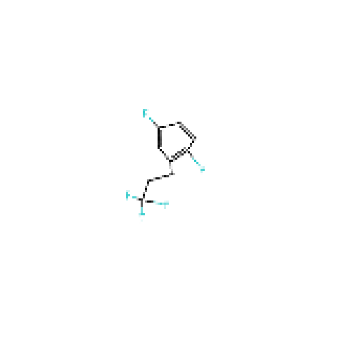 Fc1ccc(F)c([CH]CC(F)(F)F)c1